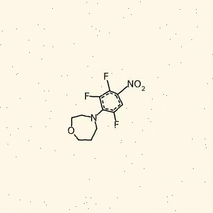 O=[N+]([O-])c1cc(F)c(N2CCCOCC2)c(F)c1F